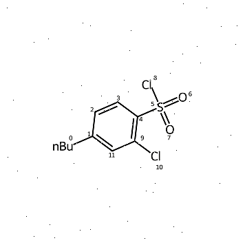 CCCCc1ccc(S(=O)(=O)Cl)c(Cl)c1